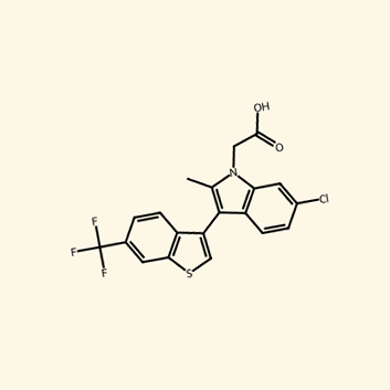 Cc1c(-c2csc3cc(C(F)(F)F)ccc23)c2ccc(Cl)cc2n1CC(=O)O